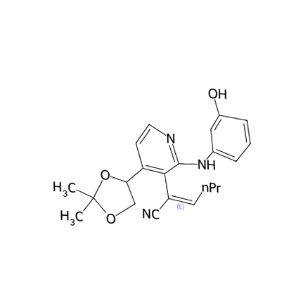 CCC/C=C(/C#N)c1c(C2COC(C)(C)O2)ccnc1Nc1cccc(O)c1